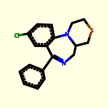 Clc1ccc2c(c1)C(c1ccccc1)=NCC1CSCCN21